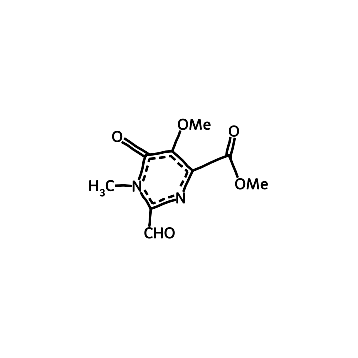 COC(=O)c1nc(C=O)n(C)c(=O)c1OC